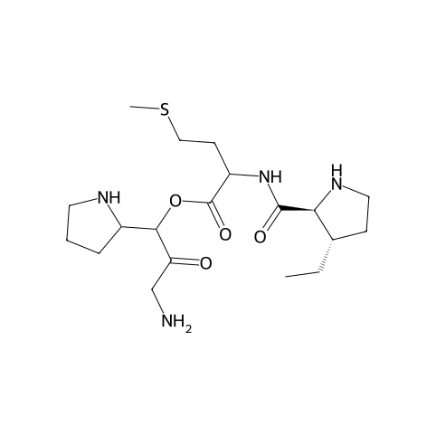 CC[C@H]1CCN[C@@H]1C(=O)NC(CCSC)C(=O)OC(C(=O)CN)C1CCCN1